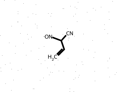 C=CC(C#N)[N+]=O